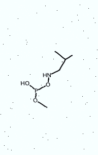 COP(O)ONCC(C)C